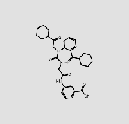 O=C(CN1N=C(C2CCCCC2)c2ccccc2N(CC(=O)C2CCCCC2)C1=O)Nc1cccc(C(=O)O)c1